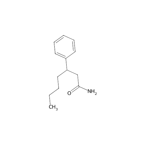 CCCCC(CC(N)=O)c1ccccc1